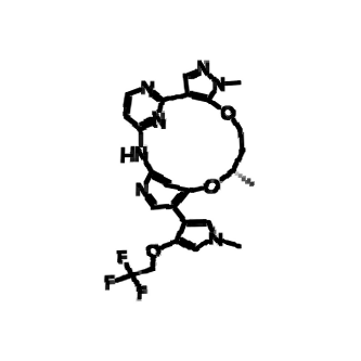 C[C@H]1CCOc2c(cnn2C)-c2nccc(n2)Nc2cc(c(-c3cn(C)cc3OCC(F)(F)F)cn2)O1